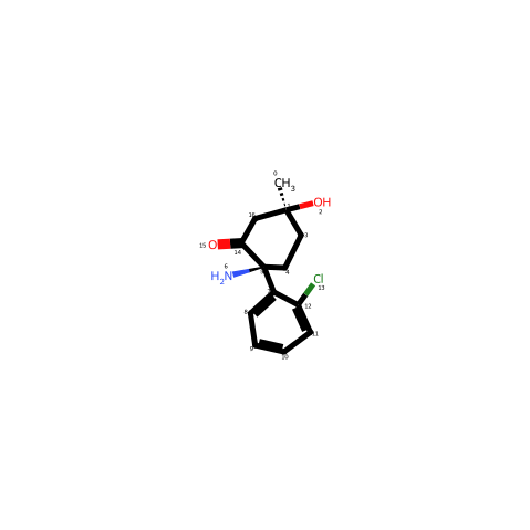 C[C@]1(O)CC[C@](N)(c2ccccc2Cl)C(=O)C1